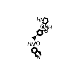 O=C(Nc1ccc2cnccc2c1)[C@@H]1C[C@H]1c1ccc(S(=O)(=O)NC2CCCNC2)cc1